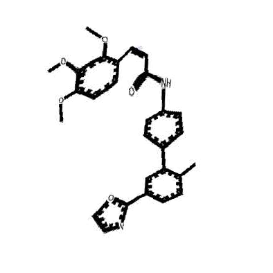 COc1ccc(/C=C\C(=O)Nc2ccc(-c3cc(-c4ncco4)ccc3C)cc2)c(OC)c1OC